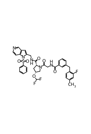 Cc1ccc(Cc2cccc(C(=O)NCC(=O)N3C[C@H](OC(F)F)C[C@H]3C(=O)NCc3cc4cnccc4n3S(=O)(=O)c3ccccc3)c2)c(F)c1